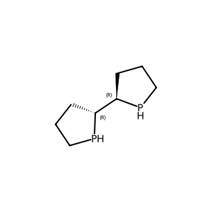 C1CP[C@@H]([C@H]2CCCP2)C1